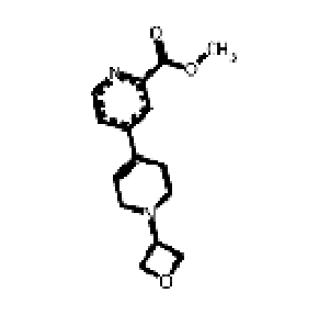 COC(=O)c1cc(C2=CCN(C3COC3)CC2)ccn1